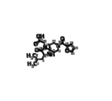 CC(C)CC1NC2(CCN(C(=O)c3ccco3)CC2)N(CC(=O)O)C1=O